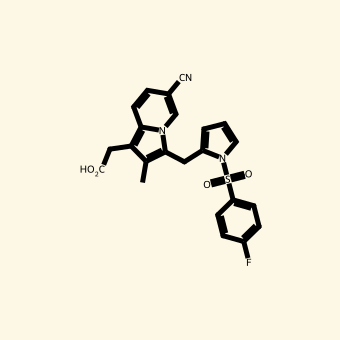 Cc1c(CC(=O)O)c2ccc(C#N)cn2c1Cc1cccn1S(=O)(=O)c1ccc(F)cc1